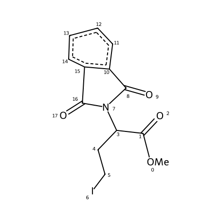 COC(=O)C(CCI)N1C(=O)c2ccccc2C1=O